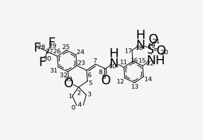 CCC1(CC)CC(=CC(=O)Nc2cccc3c2CNS(=O)(=O)N3)c2ccc(C(F)(F)F)cc2O1